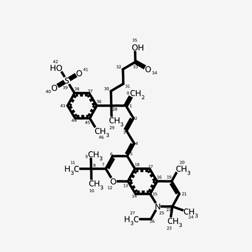 C=C(/C=C/C=C1\C=C(C(C)(C)C)Oc2cc3c(cc21)C(C)=CC(C)(C)N3CC)C(C)(CCCC(=O)O)c1cc(S(=O)(=O)O)ccc1C